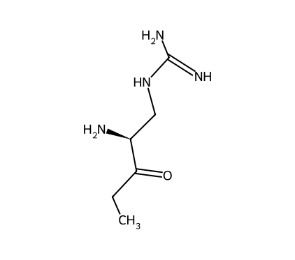 CCC(=O)[C@@H](N)CNC(=N)N